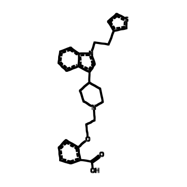 O=C(O)c1ccccc1OCCN1CCC(c2cn(CCc3ccsc3)c3ccccc23)CC1